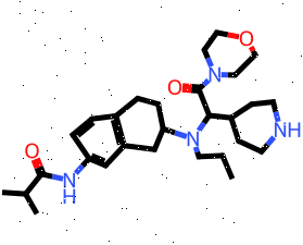 CCCN(C1CCc2ccc(NC(=O)C(C)C)cc2C1)C(C(=O)N1CCOCC1)C1CCNCC1